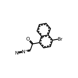 [N-]=[N+]=CC(=O)c1ccc(Br)c2ccccc12